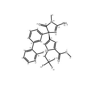 COC(=O)c1cc([C@]2(c3cccc(-c4cccnc4F)c3)N=C(N)N(C)C2=O)cn1CC(F)(F)F